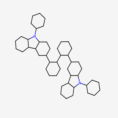 C1CCC(N2C3CCCCC3C3CC(C4CCCCC4C4CCCCC4C4CCC5C(C4)C4CCCCC4N5C4CCCCC4)CCC32)CC1